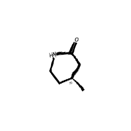 C[C@H]1CCNC(=O)C1